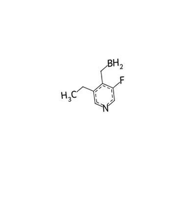 BCc1c(F)cncc1CC